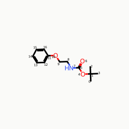 CC(C)(C)OC(=O)NCCOc1ccccc1